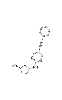 OC1CCC(Nc2ncc(C#Cc3ccccc3)cn2)C1